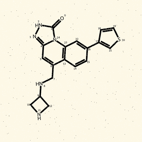 O=c1[nH]nc2cc(CNC3CNC3)c3ccc(-c4ccsc4)cc3n12